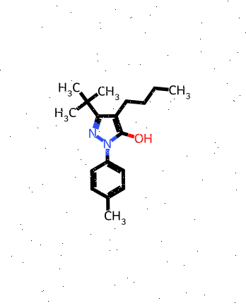 CCCCc1c(C(C)(C)C)nn(-c2ccc(C)cc2)c1O